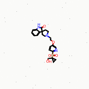 O=C1Nc2ccccc2C12CCN(CCOc1ccc(S(=O)(=O)C3(CO)CC3)nc1)CC2